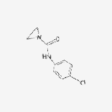 O=C(Nc1ccc(Cl)cc1)N1CC1